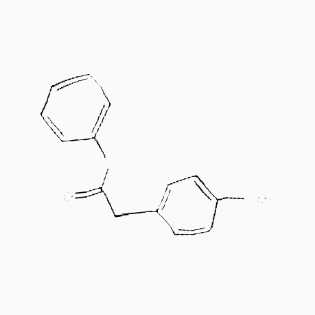 COc1ccc(CC(=O)Oc2ccccc2)cc1